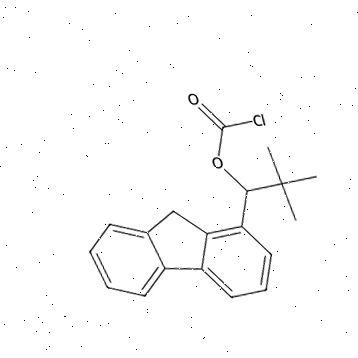 CC(C)(C)C(OC(=O)Cl)c1cccc2c1Cc1ccccc1-2